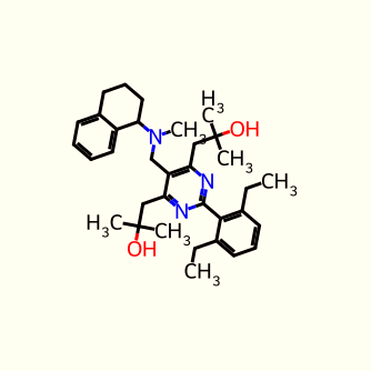 CCc1cccc(CC)c1-c1nc(CC(C)(C)O)c(CN(C)C2CCCc3ccccc32)c(CC(C)(C)O)n1